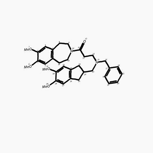 COc1cc2c(cc1OC)CCN(C(=O)CCN(Cc1ccccc1)CC1Cc3cc(OC)c(OC)cc3C1)CC2